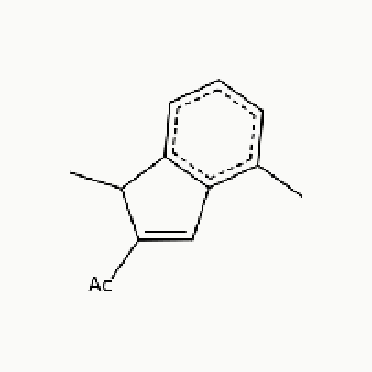 CC(=O)C1=Cc2c(C)cccc2C1C